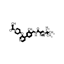 C#CC(=O)N1CCC(Oc2cnccc2-c2ccc(CNC(=O)c3cn(C(C)(C)C)nn3)c(C)c2)CC1